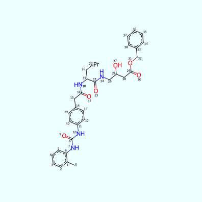 Cc1ccccc1NC(=O)Nc1ccc(CC(=O)NC(CC(C)C)C(=O)NCC(O)CC(=O)OCc2ccccc2)cc1